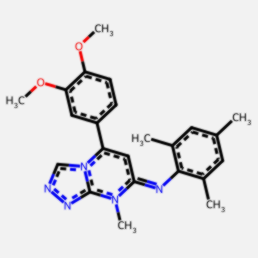 COc1ccc(-c2cc(=Nc3c(C)cc(C)cc3C)n(C)c3nncn23)cc1OC